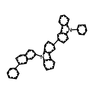 c1ccc(-c2ccc3ccc(-n4c5ccccc5c5cc(-c6ccc7c(c6)c6ccccc6n7-c6ccccc6)ccc54)cc3c2)cc1